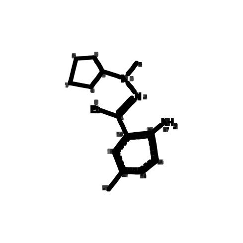 CC/C(=N\N(C)C1CCCC1)c1cc(C)ccc1N